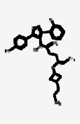 C=C(CC/C(=C\C)OC1CN(CCC)C1)[C@H](O)c1c(-c2ccc(O)cc2)noc1-c1ccccc1Cl